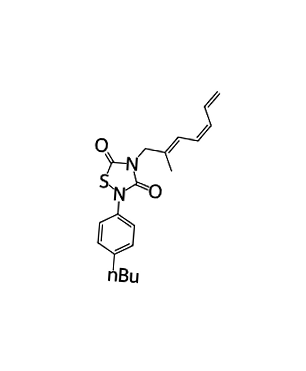 C=C/C=C\C=C(/C)Cn1c(=O)sn(-c2ccc(CCCC)cc2)c1=O